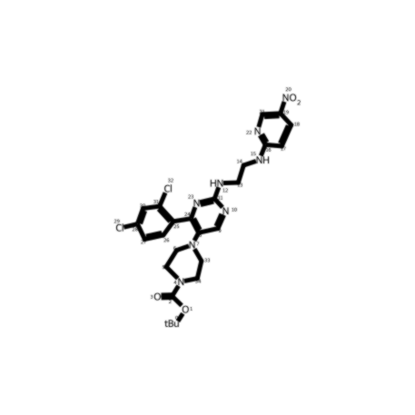 CC(C)(C)OC(=O)N1CCN(c2cnc(NCCNc3ccc([N+](=O)[O-])cn3)nc2-c2ccc(Cl)cc2Cl)CC1